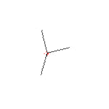 CCCCCCCCCCCCCCCCC(OC)C(CCCCCCCCCCCCCCCC)(CCCCCCCCCCCCCCCC)O[SiH3]